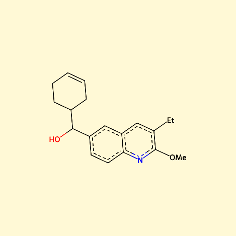 CCc1cc2cc(C(O)C3CC=CCC3)ccc2nc1OC